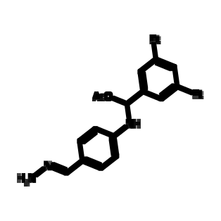 CCc1cc(CC)cc(C(Nc2ccc(C=NN)cc2)OC(C)=O)c1